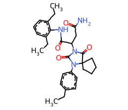 CCc1ccc(N2C(=O)N(C(CC(N)=O)C(=O)Nc3c(CC)cccc3CC)C(=O)C23CCCC3)cc1